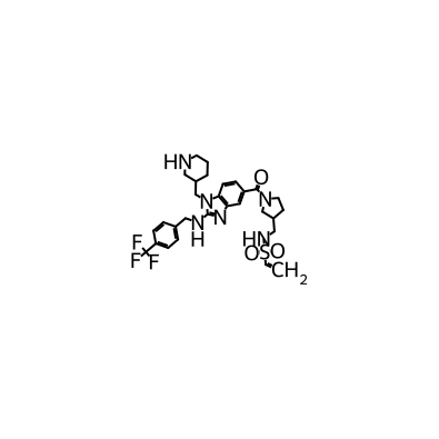 C=CS(=O)(=O)NCC1CCN(C(=O)c2ccc3c(c2)nc(NCc2ccc(C(F)(F)F)cc2)n3CC2CCCNC2)C1